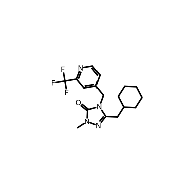 Cn1nc(CC2CCCCC2)n(Cc2ccnc(C(F)(F)F)c2)c1=O